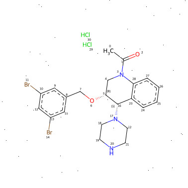 CC(=O)N1C[C@@H](OCc2cc(Br)cc(Br)c2)[C@@H](N2CCNCC2)c2ccccc21.Cl.Cl